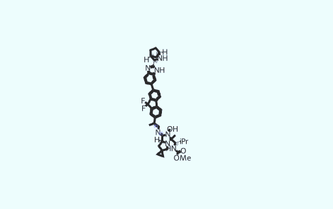 COC(=O)N[C@@H](C(C)C)C1(C)N(O)/C(=N\C=C(/C)c2ccc3c(c2)C(F)(F)c2cc(-c4ccc5nc([C@H]6N[C@@H]7CC[C@H]6C7)[nH]c5c4)ccc2-3)[C@@H]2CC3(CC3)CN21